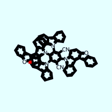 N#Cc1c(-n2c3ccccc3c3ccccc32)c(-n2c3ccccc3c3c4c(ccc32)oc2ccccc24)c(-n2c3ccccc3c3ccccc32)c(C#N)c1-n1c2ccccc2c2c3c(ccc21)oc1ccccc13